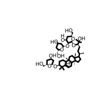 C[C@H](CC[C@@H](O[C@@H]1O[C@H](CO)C[C@H](O)[C@H]1O[C@H]1C[C@@H](O)C[C@@H](CO)O1)C(C)(C)O)C1CC[C@@]2(C)[C@@H]3CC=C4C(CC[C@H](O[C@H]5C[C@@H](O)C[C@@H](CO)O5)C4(C)C)[C@]3(C)CC[C@]12C